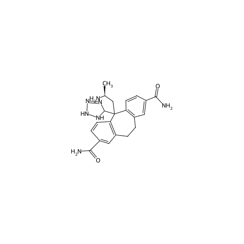 C[C@H](N)CC1(C2N=NNN2)c2ccc(C(N)=O)cc2CCc2cc(C(N)=O)ccc21